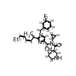 CC/C=C\C=C/C(C)c1nc([C@@H](C)N(C(=O)[C@H]2CNCCO2)C2CC2)cn1Cc1cccc(F)c1